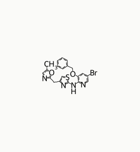 Cc1cnc(Cc2csc(Nc3ncc(Br)cc3OCc3ccccc3)n2)o1